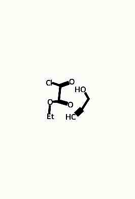 C#CCO.CCOC(=O)C(=O)Cl